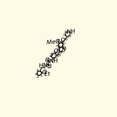 CCOc1ccccc1CCNC(=O)C(=O)NC1=CC(F)C(Oc2ccnc3cc(OCC4CCNCC4)c(OC)cc23)C=C1